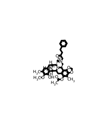 COc1c(C)cc2c(c1O)[C@H]1C3Cc4c(OC(C)=O)c(C)c5c(c4[C@H](CNCC(=O)CCc4ccccc4)N3[C@@H](C#N)[C@@H](C2)N1C)OCO5